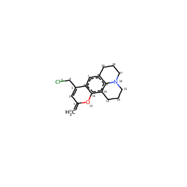 C=C1C=C(CCl)c2cc3c4c(c2O1)CCCN4CCC3